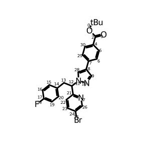 CC(C)(C)OC(=O)c1ccc(-c2cnn(C(Cc3ccc(F)cc3)c3ccc(Br)cn3)c2)cc1